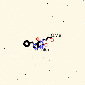 CCCCn1c(=O)n(CCCC(=O)OC)c(=O)c2c1ncn2Cc1ccccc1